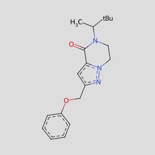 CC(N1CCn2nc(COc3ccccc3)cc2C1=O)C(C)(C)C